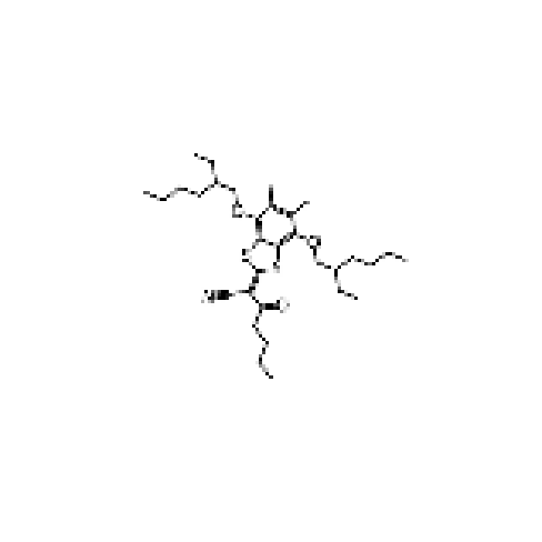 CCCCC(=O)C(C#N)=C1Sc2c(OCC(CC)CCCC)c(C)c(C)c(OCC(CC)CCCC)c2S1